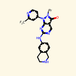 CC(C)n1c(=O)c2cnc(Nc3ccc4c(c3)CCNC4)nc2n1-c1ccnc(C(F)(F)F)c1